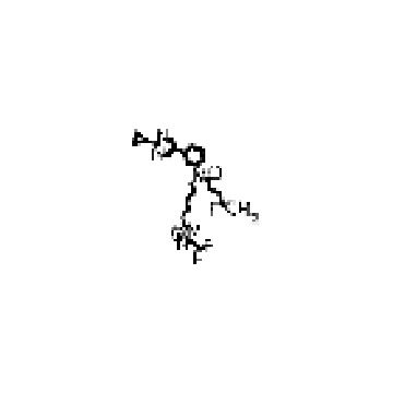 C=C(F)CCC(=O)N(CCCCCc1nc(C(F)F)no1)c1cccc(-c2cnc(C3CC3)nc2)c1